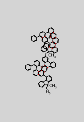 CC1(C)c2ccccc2-c2c(-c3cccc(N(c4cccc(-c5ccccc5)c4-c4ccccc4-c4ccccc4)c4cc5ccccc5c5cc(CC6(C)c7ccccc7-c7c(-c8cccc(N(c9ccccc9-c9ccc(-c%10ccccc%10)cc9)c9cccc(-c%10ccccc%10)c9-c9ccccc9-c9ccccc9)c8)cccc76)ccc45)c3)cccc21